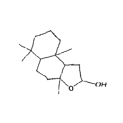 CC1(C)CCCC2(C)C1CCC1(C)OC(O)CC12